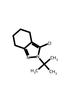 CC(C)(C)n1nc2c(c1Cl)CCCC2